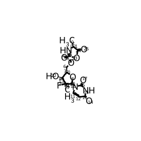 C[C@@H]1NP(=O)(OC[C@H]2O[C@@H](n3ccc(=O)[nH]c3=O)[C@](C)(F)[C@@H]2O)OC1=O